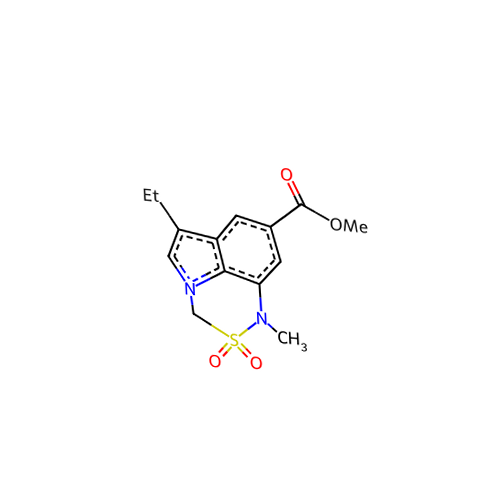 CCc1cn2c3c(cc(C(=O)OC)cc13)N(C)S(=O)(=O)C2